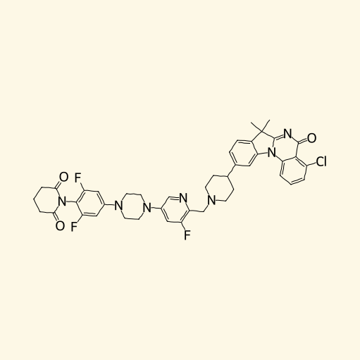 CC1(C)c2ccc(C3CCN(Cc4ncc(N5CCN(c6cc(F)c(N7C(=O)CCCC7=O)c(F)c6)CC5)cc4F)CC3)cc2-n2c1nc(=O)c1c(Cl)cccc12